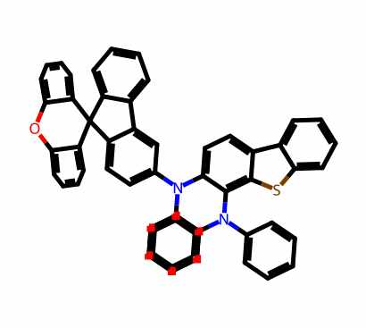 c1ccc(N(c2ccc3c(c2)-c2ccccc2C32c3ccccc3Oc3ccccc32)c2ccc3c(sc4ccccc43)c2N(c2ccccc2)c2ccccc2)cc1